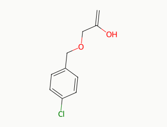 C=C(O)COCc1ccc(Cl)cc1